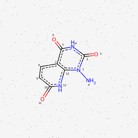 Nn1c(=O)[nH]c(=O)c2ccc(=O)[nH]c21